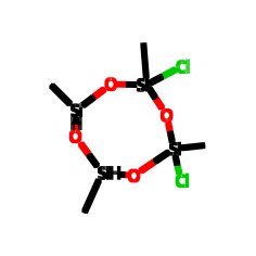 C[SiH]1O[SiH](C)O[Si](C)(Cl)O[Si](C)(Cl)O1